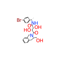 C[C@H](NC(=O)[C@H](O)[C@@H](O)C(=O)N1Cc2ccccc2CC1CO)c1ccc(Br)cc1